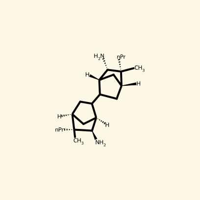 CCC[C@]1(C)[C@H]2CC(C3C[C@@H]4C[C@H]3[C@H](N)[C@]4(C)CCC)[C@H](C2)[C@H]1N